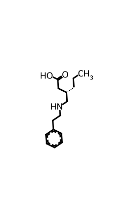 CCC[C@H](CNCCc1ccccc1)CC(=O)O